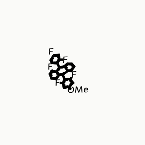 COc1cc(F)c(-c2c3ccccc3c(-c3ccc(F)cc3F)c3c(F)cccc23)c(F)c1